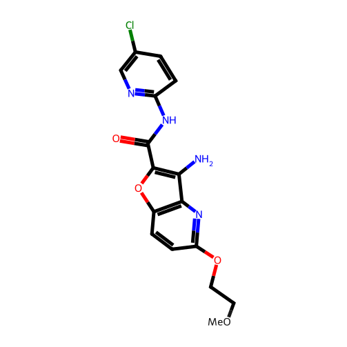 COCCOc1ccc2oc(C(=O)Nc3ccc(Cl)cn3)c(N)c2n1